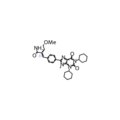 COCC/C(=C\c1ccc(-c2nc3c(=O)n(C4CCCCC4)c(=O)n(C4CCCCC4)c3n2C)cc1)C(N)=O